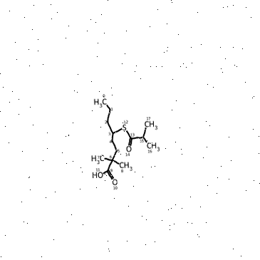 CCCC(CCC(C)(C)C(=O)O)SC(=O)C(C)C